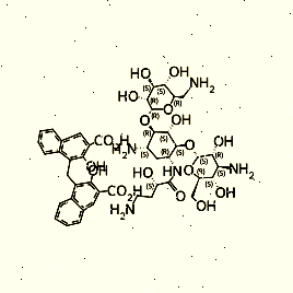 NCC[C@H](O)C(=O)N[C@@H]1C[C@H](N)[C@@H](O[C@H]2O[C@H](CN)[C@@H](O)[C@H](O)[C@H]2O)[C@H](O)[C@H]1O[C@H]1O[C@H](CO)[C@@H](O)[C@H](N)[C@H]1O.O=C(O)c1cc2ccccc2c(Cc2c(O)c(C(=O)O)cc3ccccc23)c1O